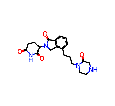 O=C1CCC(N2Cc3c(CCCN4CCNCC4=O)cccc3C2=O)C(=O)N1